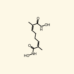 CC(=CCCC=C(C)C(=O)NO)C(=O)NO